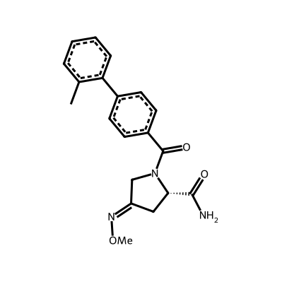 CO/N=C1\C[C@@H](C(N)=O)N(C(=O)c2ccc(-c3ccccc3C)cc2)C1